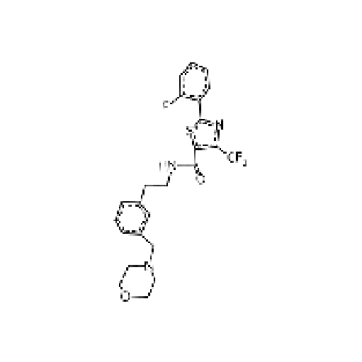 O=C(NCCc1cccc(CN2CCOCC2)c1)c1sc(-c2ccccc2F)nc1C(F)(F)F